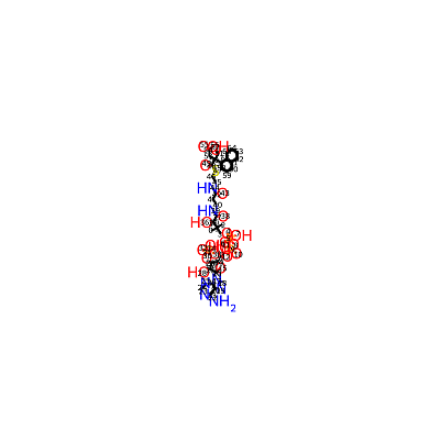 CC(C)(COP(=O)(O)OP(=O)(O)OC[C@H]1O[C@@H](n2cnc3c(N)ncnc32)[C@H](O)[C@@H]1OP(=O)(O)O)[C@@H](O)C(=O)NCCC(=O)NCCSC(=O)C(C=O)(CC(=O)O)c1cccc2ccccc12